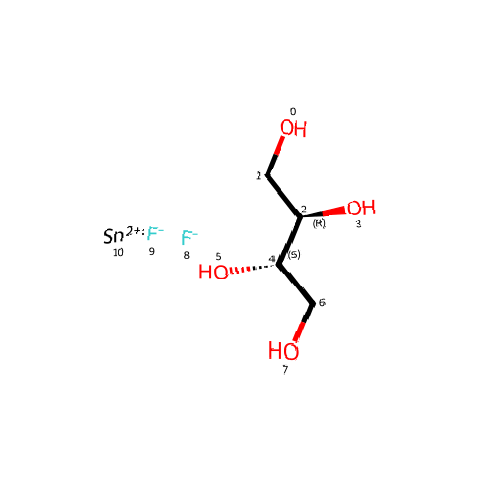 OC[C@@H](O)[C@@H](O)CO.[F-].[F-].[Sn+2]